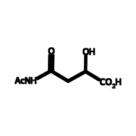 CC(=O)NC(=O)CC(O)C(=O)O